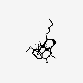 CCCCOc1ccc2c3c1O[C@H]1[C@@]4(OC)C=C[C@@]5(C[C@@H]4C(C)=O)[C@@H](C2)N(C)CC[C@]315